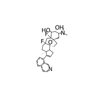 CN(C)[C@H]1C[C@@]23CC[C@]4(O2)C2CC=C(c5cccc6ccncc56)[C@@]2(C)CCC4(F)CC3(F)[C@@H](O)[C@@H]1O